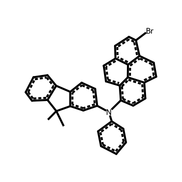 CC1(C)c2ccccc2-c2ccc(N(c3ccccc3)c3ccc4ccc5c(Br)ccc6ccc3c4c65)cc21